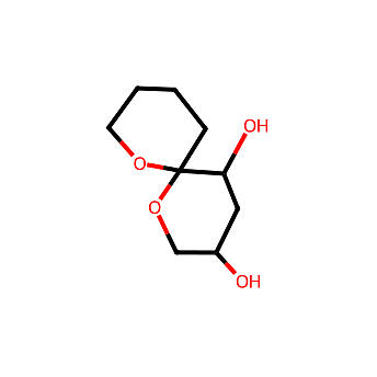 OC1COC2(CCCCO2)C(O)C1